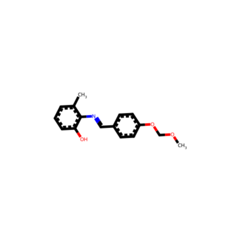 COCOc1ccc(C=Nc2c(C)cccc2O)cc1